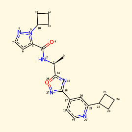 C[C@H](NC(=O)c1ccnn1C1CCC1)c1nc(-c2ccnc(C3CCC3)c2)no1